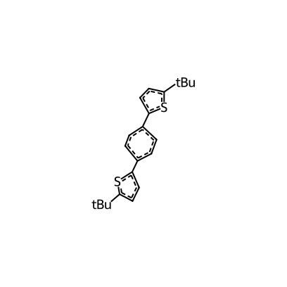 CC(C)(C)c1ccc(-c2ccc(-c3ccc(C(C)(C)C)s3)cc2)s1